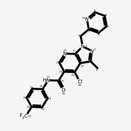 Cc1nn(Cc2ccccn2)c2ncc(C(=O)Nc3ccc(C(F)(F)F)cc3)c(Cl)c12